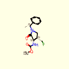 C[C@H](c1ccccc1)N1C[C@H](CF)[C@H](NC(=O)OC(C)(C)C)C1=O